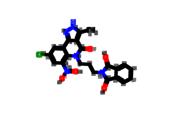 Cc1[nH]nc2c1c(=O)n(CCCN1C(=O)c3ccccc3C1=O)c1c([N+](=O)[O-])cc(Cl)cc21